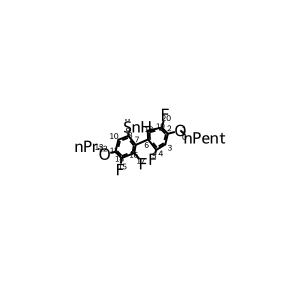 CCCCCOc1cc(F)c(-c2[c]([SnH])cc(OCCC)c(F)c2F)cc1F